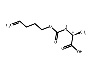 C=CCCCOC(=O)N[C@@H](C)C(=O)O